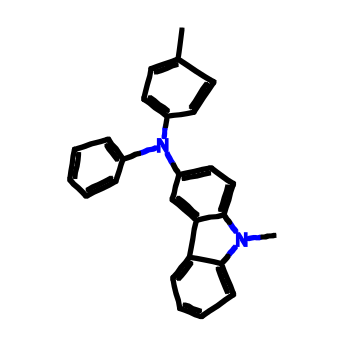 Cc1ccc(N(c2ccccc2)c2ccc3c(c2)c2ccccc2n3C)cc1